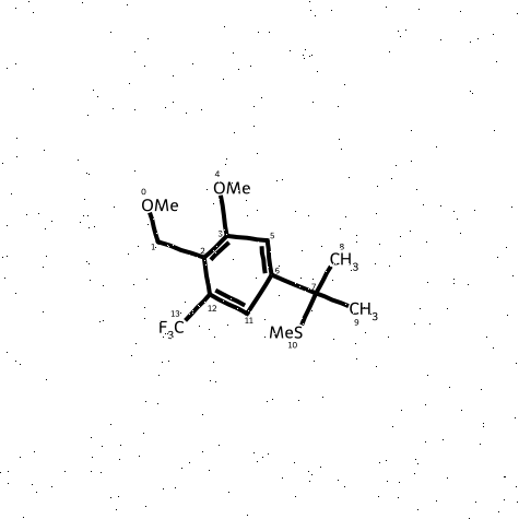 COCc1c(OC)cc(C(C)(C)SC)cc1C(F)(F)F